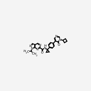 CC(C)n1ncc2cnc(C(=O)NC3(c4ccc(-c5cncn(C6CCC6)c5=O)cc4)CC3)nc21